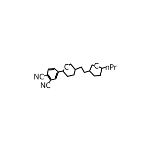 CCCC1CCC(CCC2CCC(c3ccc(C#N)c(C#N)c3)CC2)CC1